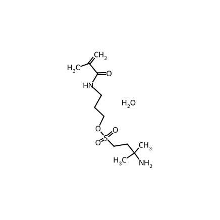 C=C(C)C(=O)NCCCOS(=O)(=O)CCC(C)(C)N.O